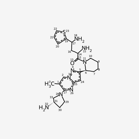 Cc1cn2nc([C@@H]3CCCCN3C(=O)C(N)CC(N)c3cccs3)cc2nc1N1CC[C@H](N)C1